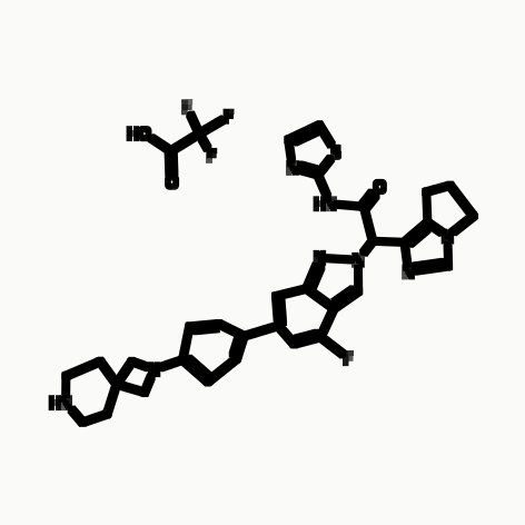 O=C(Nc1nccs1)C(c1ncn2c1CCC2)n1cc2c(F)cc(-c3ccc(N4CC5(CCNCC5)C4)cc3)cc2n1.O=C(O)C(F)(F)F